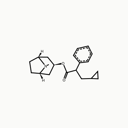 CN1[C@@H]2CC[C@H]1C[C@H](OC(=O)C(CC1CC1)c1ccccc1)C2